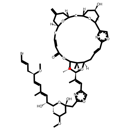 C=C1C[C@@H]2C[C@@H]3C[C@@H](O)C[C@@H](O3)c3coc(n3)/C=C/C[C@H]3O[C@@H](/C(C)=C/c4coc(C[C@]5(O)CC(OC)C[C@H]([C@H](O)/C=C(C)/C=C/[C@@H](C/C=C/Br)OC)O5)n4)[C@H](C)[C@@H](OC(=O)/C=C\C[C@@H](C1)O2)[C@H]3C